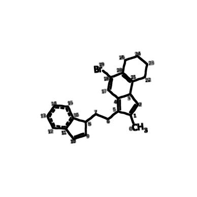 CC1=CC2C(=C1CCC1C=Cc3ccccc31)C=C(Br)C1=C2CCCC1